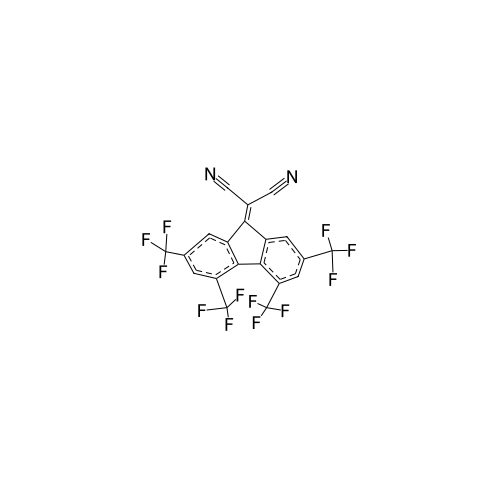 N#CC(C#N)=C1c2cc(C(F)(F)F)cc(C(F)(F)F)c2-c2c1cc(C(F)(F)F)cc2C(F)(F)F